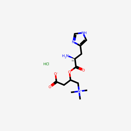 C[N+](C)(C)CC(CC(=O)[O-])OC(=O)[C@@H](N)Cc1c[nH]cn1.Cl